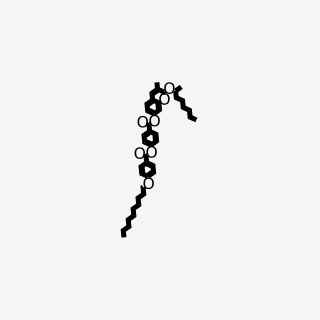 CCCCCCCCCCOc1ccc(C(=O)Oc2ccc(C(=O)Oc3ccc(C=C(C)C(=O)OC(C)CCCCCC)cc3)cc2)cc1